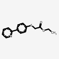 CCOC(=O)CSc1ccc(-c2c[c]ccn2)cc1